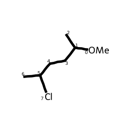 COC(C)CCC(C)Cl